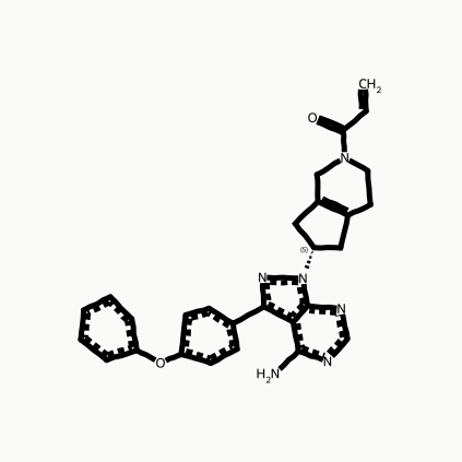 C=CC(=O)N1CCC2=C(C[C@@H](n3nc(-c4ccc(Oc5ccccc5)cc4)c4c(N)ncnc43)C2)C1